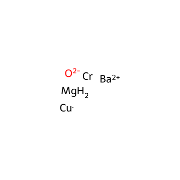 [Ba+2].[Cr].[Cu].[MgH2].[O-2]